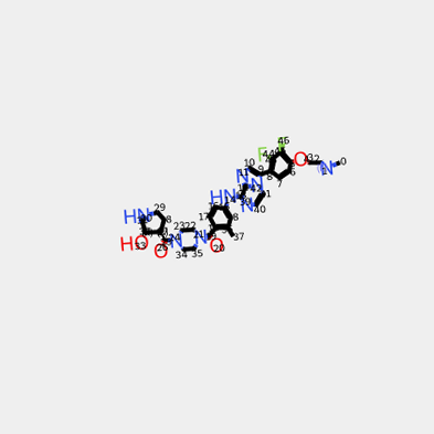 C/N=C/COc1ccc(-c2cnc3c(Nc4ccc(C(=O)N5CCN(C(=O)[C@@H]6CCNC[C@@H]6O)CC5)c(C)c4)nccn23)c(F)c1F